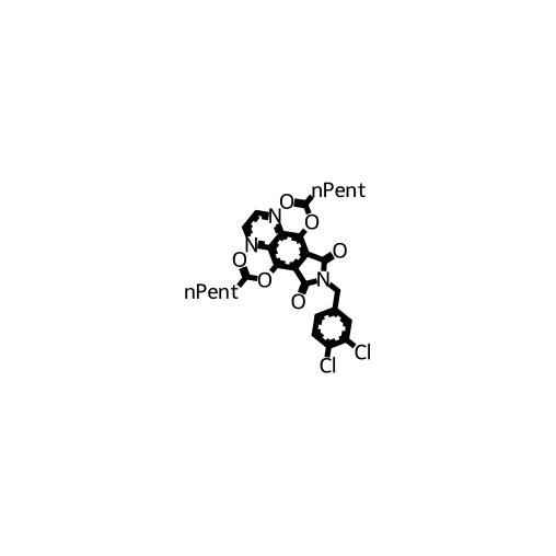 CCCCCC(=O)Oc1c2c(c(OC(=O)CCCCC)c3nccnc13)C(=O)N(Cc1ccc(Cl)c(Cl)c1)C2=O